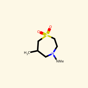 CNN1CCS(=O)(=O)CC(C)C1